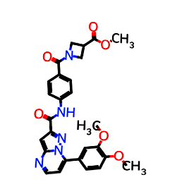 COC(=O)C1CN(C(=O)c2ccc(NC(=O)c3cc4nccc(-c5ccc(OC)c(OC)c5)n4n3)cc2)C1